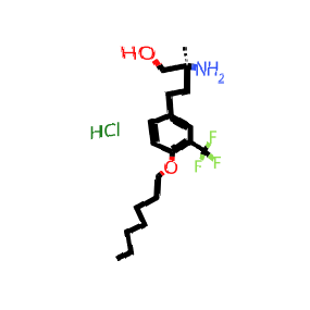 CCCCCCCOc1ccc(CC[C@](C)(N)CO)cc1C(F)(F)F.Cl